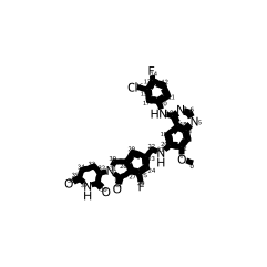 COc1cc2ncnc(Nc3ccc(F)c(Cl)c3)c2cc1NCc1cc(F)c2c(c1)CN(C1CCC(=O)NC1=O)C2=O